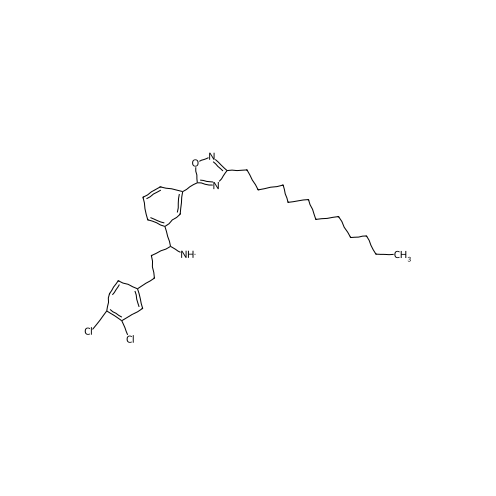 CCCCCCCCCCCc1noc(-c2cccc(C([NH])CCc3ccc(Cl)c(Cl)c3)c2)n1